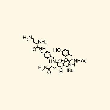 CCC(C)[C@H](NC(=O)[C@H](Cc1ccc(O)cc1)NC(C)=O)C(=O)N[C@@H](CCC(N)=O)C(=O)NCc1ccc(CNC(=O)[C@@H](N)CCN)cc1